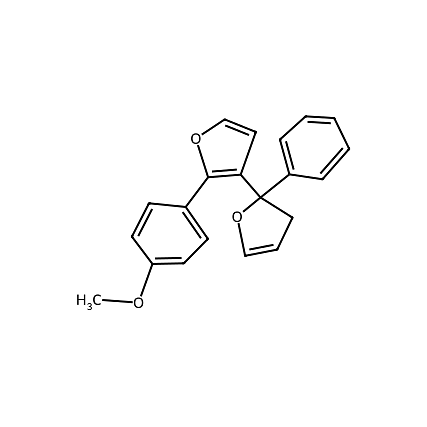 COc1ccc(-c2occc2C2(c3ccccc3)CC=CO2)cc1